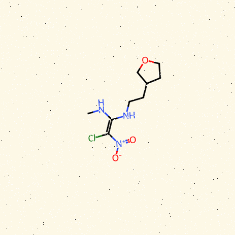 CN/C(NCCC1CCOC1)=C(\Cl)[N+](=O)[O-]